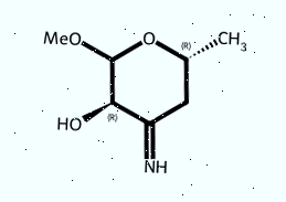 COC1O[C@H](C)CC(=N)[C@H]1O